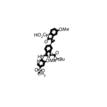 COc1ccc2c(c1)[C@]1(C[C@H]1c1ccc3c(Nc4ncc(S(C)(=O)=O)cc4OC)nn(C(=O)OC(C)(C)C)c3c1)C(=O)N2C(=O)O